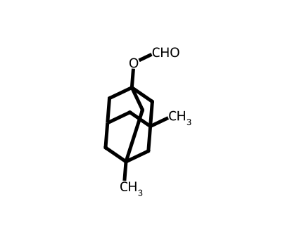 CC12CC3CC(C)(C1)CC(OC=O)(C3)C2